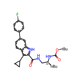 CCCC[C@@H](CNC(=O)c1[nH]c2cc(-c3ccc(F)cc3)ccc2c1C1CC1)NC(=O)OC(C)(C)C